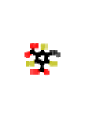 Cc1c(S)c(C(=O)O)c(S)c(C(=O)O)c1S